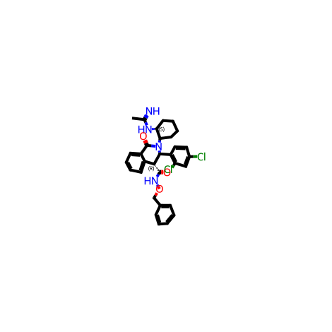 CC(=N)N[C@H]1CCCCC1N1C(=O)c2ccccc2[C@@H](C(=O)NOCc2ccccc2)C1c1ccc(Cl)cc1Cl